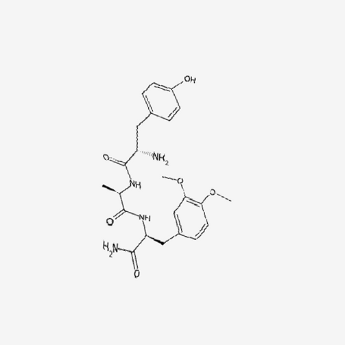 COc1ccc(C[C@H](NC(=O)[C@@H](C)NC(=O)[C@@H](N)Cc2ccc(O)cc2)C(N)=O)cc1OC